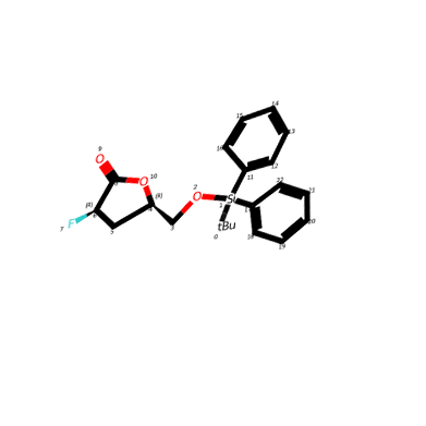 CC(C)(C)[Si](OC[C@H]1C[C@@H](F)C(=O)O1)(c1ccccc1)c1ccccc1